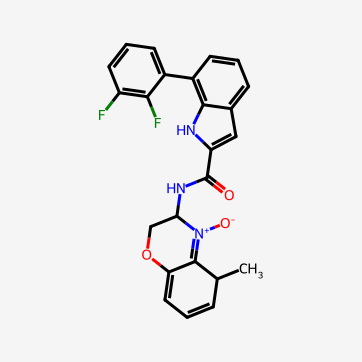 CC1C=CC=C2OCC(NC(=O)c3cc4cccc(-c5cccc(F)c5F)c4[nH]3)[N+]([O-])=C21